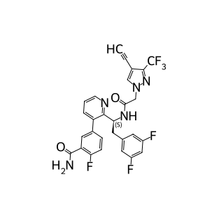 C#Cc1cn(CC(=O)N[C@@H](Cc2cc(F)cc(F)c2)c2ncccc2-c2ccc(F)c(C(N)=O)c2)nc1C(F)(F)F